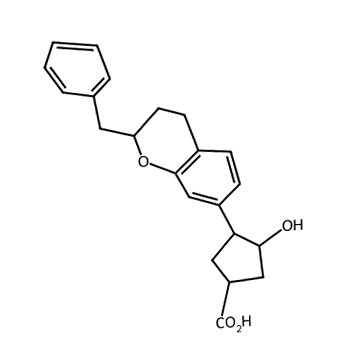 O=C(O)C1CC(O)C(c2ccc3c(c2)OC(Cc2ccccc2)CC3)C1